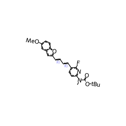 COc1ccc2oc(/C=C/C=C/c3ccc(N(C)C(=O)OC(C)(C)C)nc3F)cc2c1